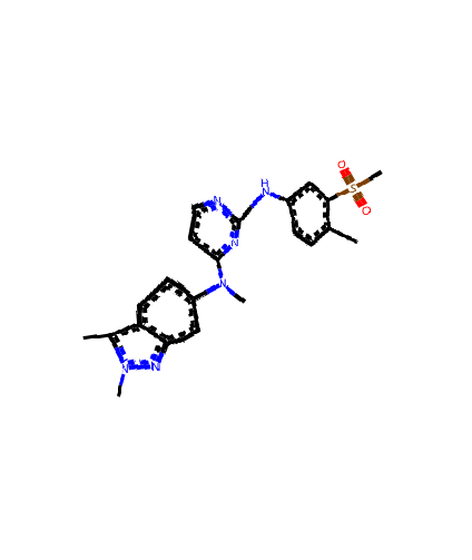 Cc1ccc(Nc2nccc(N(C)c3ccc4c(C)n(C)nc4c3)n2)cc1S(C)(=O)=O